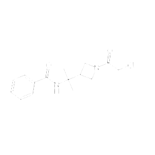 CC(C)(NC(=O)c1ccccc1)C1CN(C(=O)CCl)C1